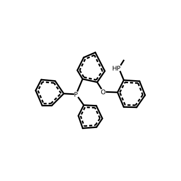 CPc1ccccc1Oc1ccccc1P(c1ccccc1)c1ccccc1